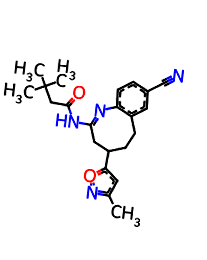 Cc1cc(C2CCc3cc(C#N)ccc3/N=C(/NC(=O)CC(C)(C)C)C2)on1